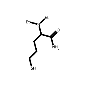 CCN(CC)C(CCCS)C(N)=O